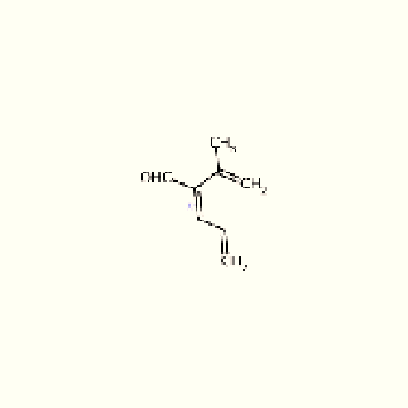 C=C/C=C(/C=O)C(=C)C